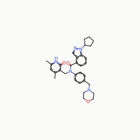 Cc1cc(C)c(CN(C(=O)c2cccc3c2cnn3C2CCCC2)c2ccc(CN3CCOCC3)cc2)c(=O)[nH]1